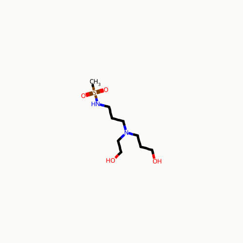 CS(=O)(=O)NCCCN(CCO)CCCO